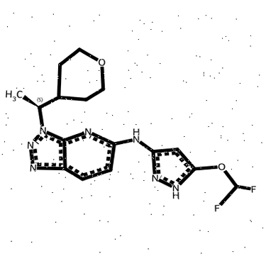 C[C@@H](C1CCOCC1)n1nnc2ccc(Nc3cc(OC(F)F)[nH]n3)nc21